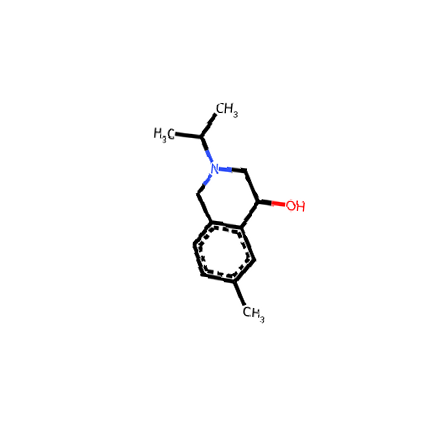 Cc1ccc2c(c1)C(O)CN(C(C)C)C2